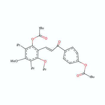 COc1c(C(C)C)c(OC(=O)C(C)(C)C)c(C=CC(=O)c2ccc(OC(=O)C(C)(C)C)cc2)c(OC(C)C)c1C(C)C